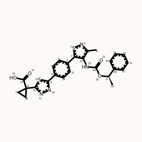 Cc1nsc(-c2ccc(-c3nnc(C4(C(=O)O)CC4)s3)cc2)c1NC(=O)O[C@H](C)c1ccccc1